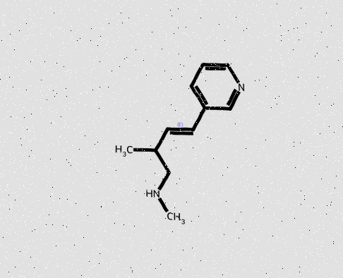 CNCC(C)/C=C/c1cccnc1